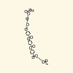 C=CC(=O)OCCCCOC(=O)c1ccc(OC(=O)c2ccc(OC(=O)c3ccc(OCCOCCOCCOC(=O)C(C)CC)cc3)cc2)cc1